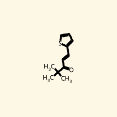 CC(C)(C)C(=O)C=Cc1cccs1